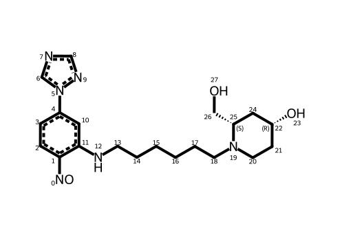 O=Nc1ccc(-n2cncn2)cc1NCCCCCCN1CC[C@@H](O)C[C@H]1CO